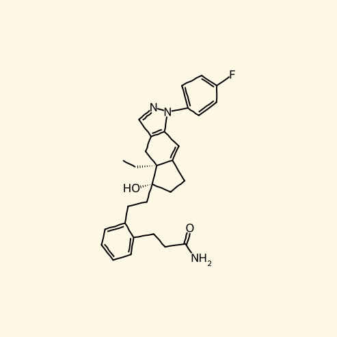 CC[C@]12Cc3cnn(-c4ccc(F)cc4)c3C=C1CC[C@@]2(O)CCc1ccccc1CCC(N)=O